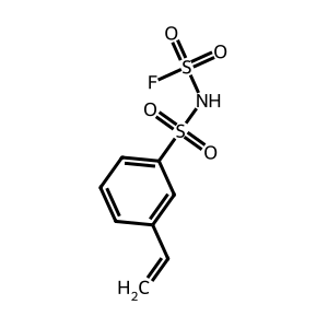 C=Cc1cccc(S(=O)(=O)NS(=O)(=O)F)c1